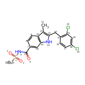 CCCCS(=O)(=O)NC(=O)c1ccc2c(C)c(Cc3ccc(Cl)cc3Cl)[nH]c2c1